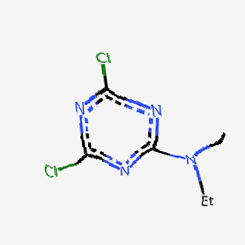 CCN(C)c1nc(Cl)nc(Cl)n1